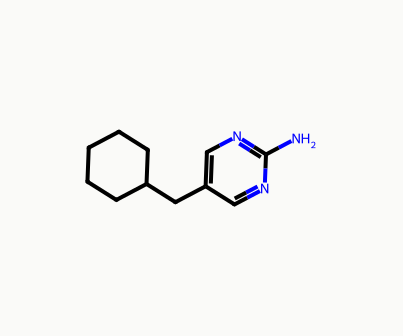 Nc1ncc(CC2CCCCC2)cn1